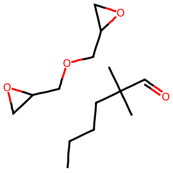 C(OCC1CO1)C1CO1.CCCCC(C)(C)C=O